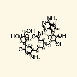 Nc1nc(=O)n([C@@H]2C[C@H](O)[C@@H](CO)O2)cc1CCCN(CCC(N)C(=O)O)C[C@H]1O[C@@H](n2cnc3c(N)ncnc32)[C@H](O)[C@@H]1O